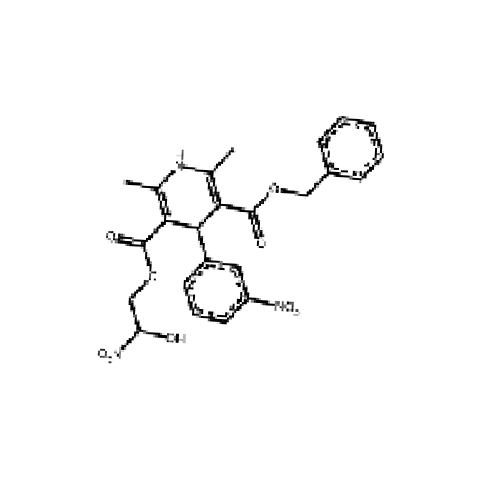 CC1=C(C(=O)OCc2ccccc2)C(c2cccc([N+](=O)[O-])c2)C(C(=O)OCC(O)[N+](=O)[O-])=C(C)N1